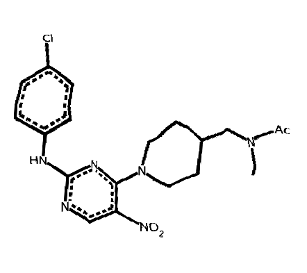 CC(=O)N(C)CC1CCN(c2nc(Nc3ccc(Cl)cc3)ncc2[N+](=O)[O-])CC1